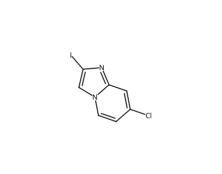 Clc1ccn2cc(I)nc2c1